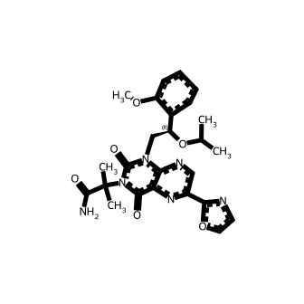 COc1ccccc1[C@H](Cn1c(=O)n(C(C)(C)C(N)=O)c(=O)c2nc(-c3ncco3)cnc21)OC(C)C